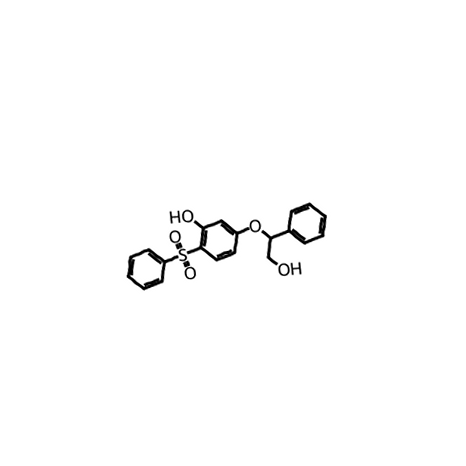 O=S(=O)(c1ccccc1)c1ccc(OC(CO)c2ccccc2)cc1O